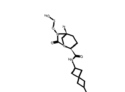 NC1CC2(C1)CC(NC(=O)[C@@H]1CC[C@@H]3CN1C(=O)N3OSO)C2